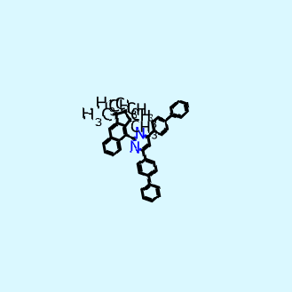 CC1(C)c2cc3ccccc3c(-c3nc(-c4ccc(-c5ccccc5)cc4)cc(-c4ccc(-c5ccccc5)cc4)n3)c2C(C)(C)C1(C)C